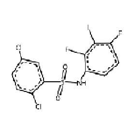 O=S(=O)(Nc1ccc(F)c(I)c1F)c1cc(Cl)ccc1Cl